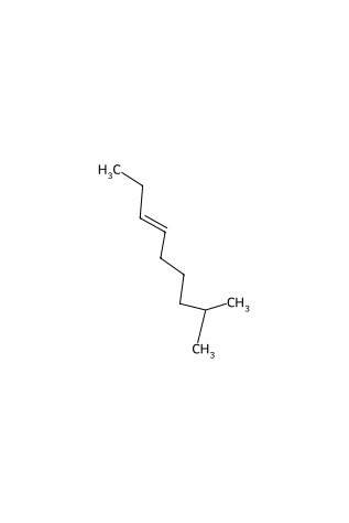 CCC=CCCCC(C)C